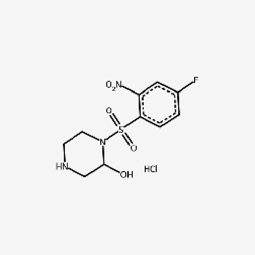 Cl.O=[N+]([O-])c1cc(F)ccc1S(=O)(=O)N1CCNCC1O